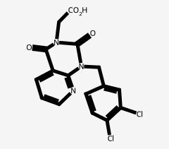 O=C(O)Cn1c(=O)c2cccnc2n(Cc2ccc(Cl)c(Cl)c2)c1=O